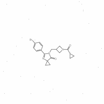 O=C(C1CC1)N1CC(CN2C(=O)C3(CC3)N=C2c2ccc(Br)cc2)C1